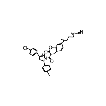 Cc1ccc(C2CC(c3ccc(Cl)cc3)=NN2C(=O)C2Cc3ccc(OCCC[Se]C#N)cc3OC2=O)cc1